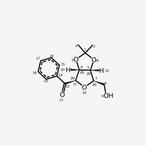 CC1(C)O[C@@H]2[C@H](O1)[C@@H](CO)O[C@H]2C(=O)c1ccccc1